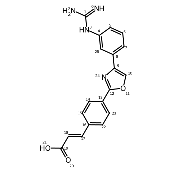 N=C(N)Nc1cccc(-c2coc(-c3ccc(C=CC(=O)O)cc3)n2)c1